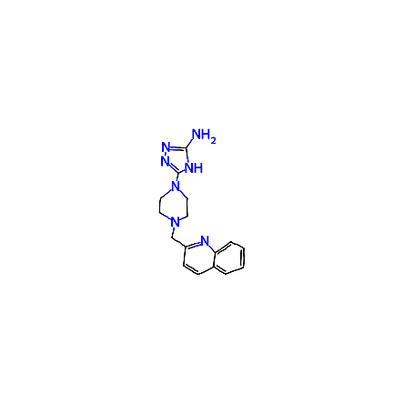 Nc1nnc(N2CCN(Cc3ccc4ccccc4n3)CC2)[nH]1